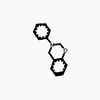 c1cc2c(cc#1)OCN(c1ccccc1)C2